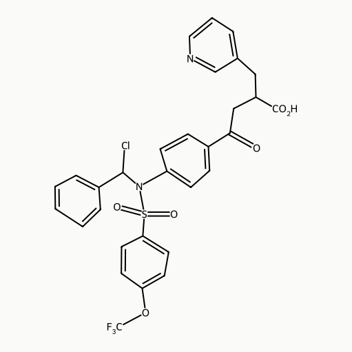 O=C(CC(Cc1cccnc1)C(=O)O)c1ccc(N(C(Cl)c2ccccc2)S(=O)(=O)c2ccc(OC(F)(F)F)cc2)cc1